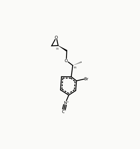 [C-]#[N+]c1ccc([C@@H](C)OC[C@H]2CO2)c(Br)c1